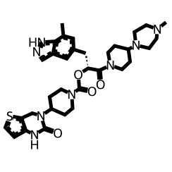 Cc1cc(C[C@@H](OC(=O)N2CCC(N3Cc4sccc4NC3=O)CC2)C(=O)N2CCC(N3CCN(C)CC3)CC2)cc2cn[nH]c12